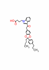 CCCCC1(c2ccc(CCC)cc2)Oc2ccc(CC(=O)c3cn(CCCC(=O)O)c4ccccc34)cc2O1